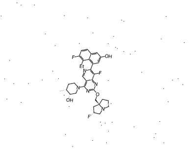 CCc1c(F)ccc2cc(O)cc(-c3ncc4c(N5CC[C@@H](C)[C@@H](O)C5)nc(OC[C@@]56CCCN5C[C@H](F)C6)nc4c3F)c12